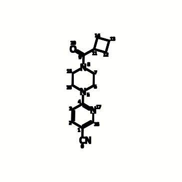 N#Cc1ccc(N2CCN(C(=O)C3CCC3)CC2)nc1